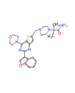 CC(C)(C(N)=O)N1CCN(Cc2cc3nc(-c4coc5ccccc45)nc(N4CCOCC4)c3s2)CC1